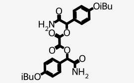 CC(C)COc1ccc(C(OC(=O)C(=O)OC(C(N)=O)c2ccc(OCC(C)C)cc2)C(N)=O)cc1